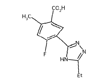 CCc1nnc(-c2cc(C(=O)O)c(C)cc2F)[nH]1